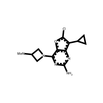 CNC1CN(c2nc(N)nc3c(C4CC4)c(Cl)oc23)C1